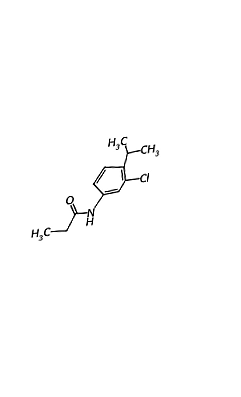 CCC(=O)Nc1ccc(C(C)C)c(Cl)c1